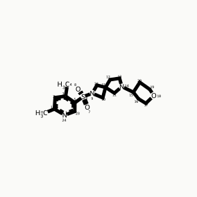 Cc1cc(C)c(S(=O)(=O)N2CC3(CCN(C4CCOCC4)C3)C2)cn1